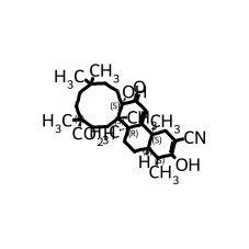 C[C@@H]1C(O)=C(C#N)C[C@]2(C)C3=CC(=O)[C@]4(O)CCC(C)(C)CC[C@](C)(C(=O)O)CC[C@@]4(C)[C@]3(C)CC[C@@H]12